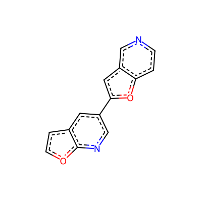 c1cc2oc(-c3cnc4occc4c3)cc2cn1